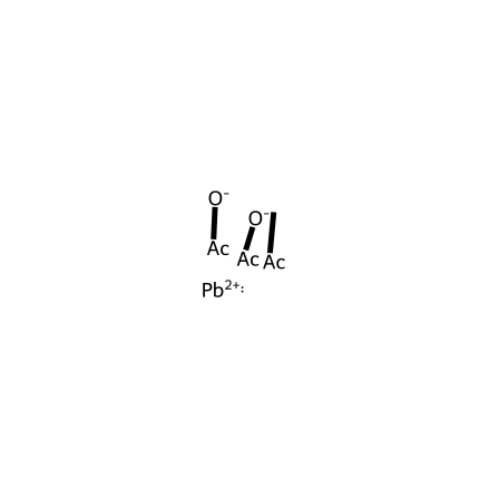 CC(=O)[O-].CC(=O)[O-].CC(C)=O.[Pb+2]